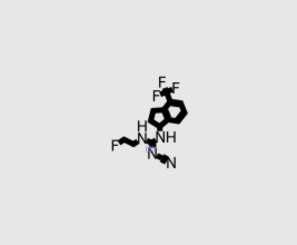 N#C/N=C(/NCCF)NC1CCc2c1cccc2C(F)(F)F